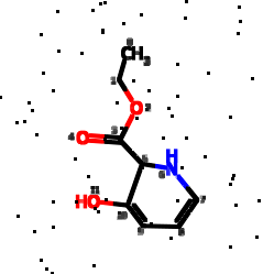 CCOC(=O)[C]1NC=CC=C1O